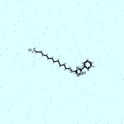 CCCCCCCCCCCCSSc1n[nH]c(-c2ccccc2)n1